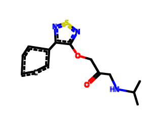 CC(C)NCC(=O)COc1nsnc1-c1ccccc1